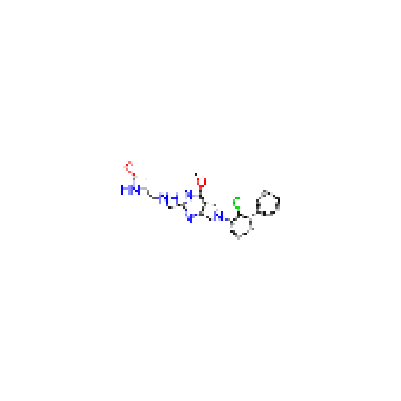 COc1nc(CNCC2CC(=O)N2)nc2c1CN(c1cccc(-c3ccccc3)c1Cl)C2